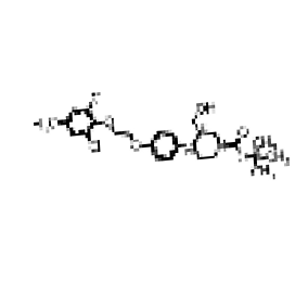 Cc1cc(Cl)c(OCCOc2ccc([C@H]3CCN(C(=O)OC(C)(C)C)C[C@@H]3CO)cc2)c(Cl)c1